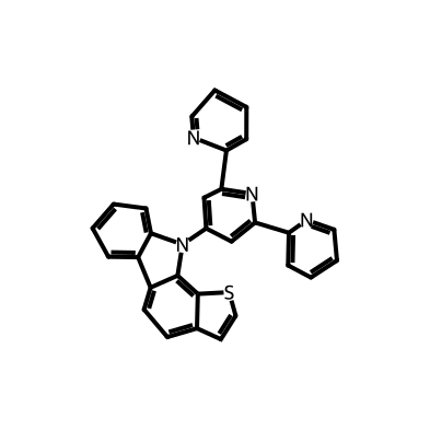 c1ccc(-c2cc(-n3c4ccccc4c4ccc5ccsc5c43)cc(-c3ccccn3)n2)nc1